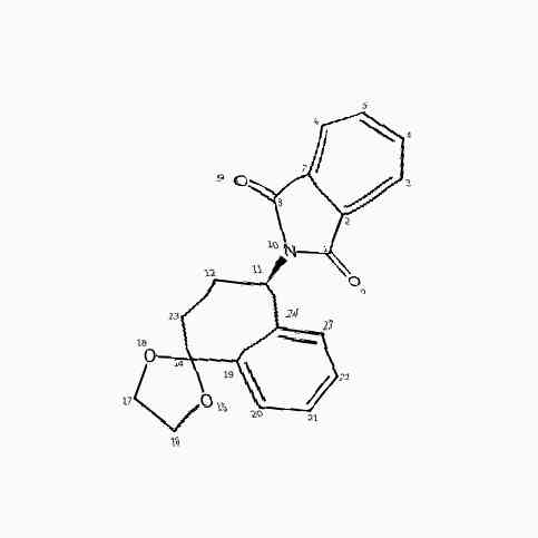 O=C1c2ccccc2C(=O)N1[C@@H]1CCC2(OCCO2)c2ccccc21